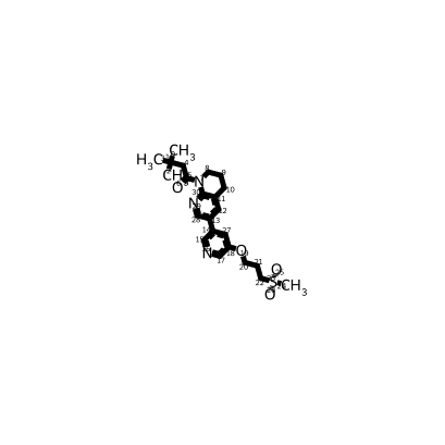 CC(C)(C)CC(=O)N1CCCc2cc(-c3cncc(OCCCS(C)(=O)=O)c3)cnc21